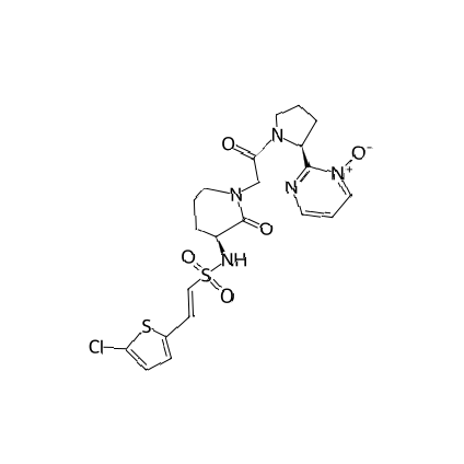 O=C1[C@@H](NS(=O)(=O)/C=C/c2ccc(Cl)s2)CCCN1CC(=O)N1CCC[C@H]1c1nccc[n+]1[O-]